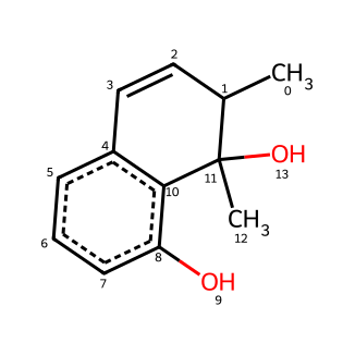 CC1C=Cc2cccc(O)c2C1(C)O